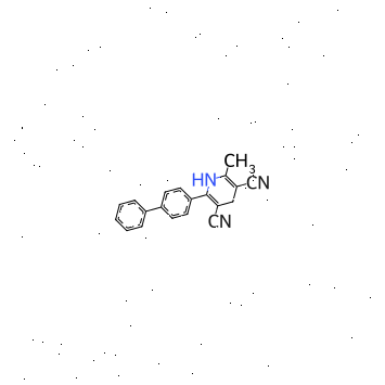 CC1=C(C#N)CC(C#N)=C(c2ccc(-c3ccccc3)cc2)N1